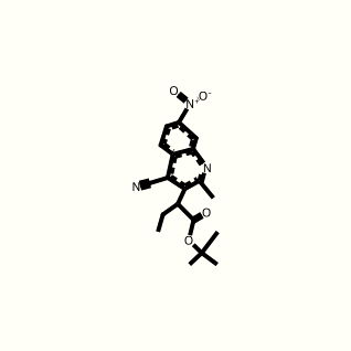 CCC(C(=O)OC(C)(C)C)c1c(C)nc2cc([N+](=O)[O-])ccc2c1C#N